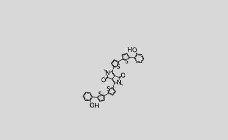 CN1C(=O)C2=C(c3ccc(-c4ccc(-c5ccccc5O)s4)s3)N(C)C(=O)C2=C1c1ccc(-c2ccc(-c3ccccc3O)s2)s1